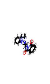 C\C=C/C(C)=C1/C=CC=C/C1=N\CCCN1C(=O)c2ccccc2C1=O